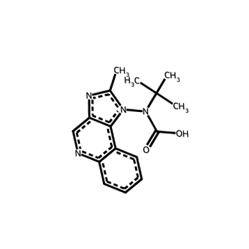 Cc1nc2cnc3ccccc3c2n1N(C(=O)O)C(C)(C)C